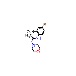 C[C@H](CN1CCOCC1)Nc1ccc(Br)cc1[N+](=O)[O-]